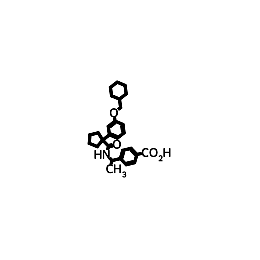 CC(NC(=O)C1(c2cccc(OCC3CCCCC3)c2)CCCC1)c1ccc(C(=O)O)cc1